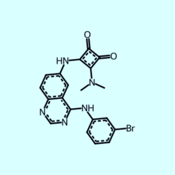 CN(C)c1c(Nc2ccc3ncnc(Nc4cccc(Br)c4)c3c2)c(=O)c1=O